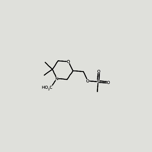 CC1(C)COC(COS(C)(=O)=O)CN1C(=O)O